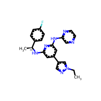 CCn1cc(-c2cc(Nc3cnccn3)nc(N[C@@H](C)c3ccc(F)cc3)c2)cn1